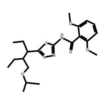 CCC(COC(C)C)C(CC)c1nnc(NC(=O)c2c(OC)cccc2OC)s1